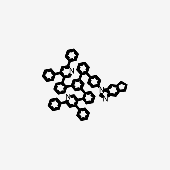 c1ccc(-c2cc(-c3ccccc3)c(-c3ccccc3-c3cc(-c4ccccc4-c4ccc(-n5cnc6cc7c(cc65)CCC7)cc4)cc(-c4ccccc4-c4cnc(-c5ccccc5)cc4-c4ccccc4)c3)cn2)cc1